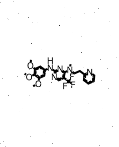 COc1cc(Nc2ncc(C(F)(F)F)c(N(C)CCc3ccccn3)n2)cc(OC)c1OC